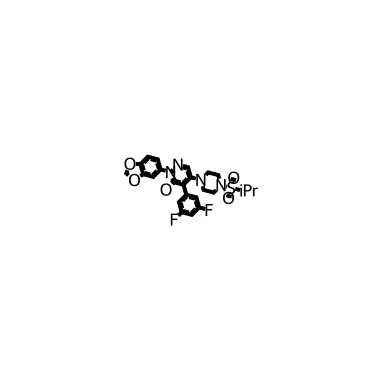 CC(C)S(=O)(=O)N1CCN(c2cnn(-c3ccc4c(c3)OCO4)c(=O)c2-c2cc(F)cc(F)c2)CC1